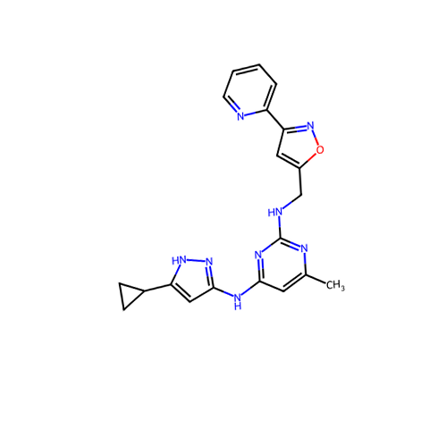 Cc1cc(Nc2cc(C3CC3)[nH]n2)nc(NCc2cc(-c3ccccn3)no2)n1